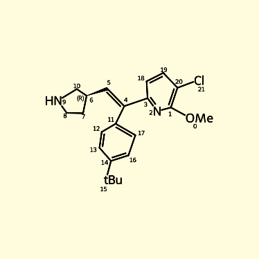 COc1nc(C(=C[C@H]2CCNC2)c2ccc(C(C)(C)C)cc2)ccc1Cl